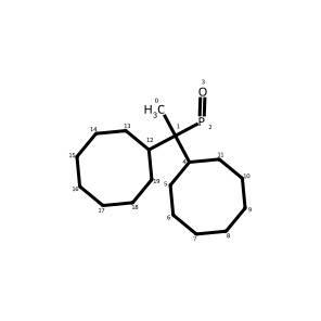 CC(P=O)(C1CCCCCCC1)C1CCCCCCC1